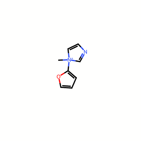 C[N+]1(c2ccco2)C=CN=C1